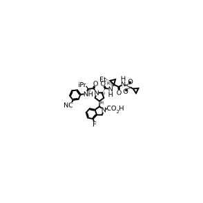 CC[C@@H]1C[C@]1(NC(=O)[C@@H]1C[C@@H](C2c3cccc(F)c3CN2C(=O)O)CN1C(=O)[C@@H](Nc1cccc(C#N)c1)C(C)C)C(=O)NS(=O)(=O)C1CC1